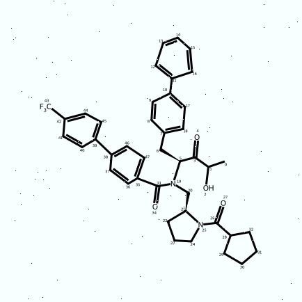 CC(O)C(=O)[C@H](Cc1ccc(-c2ccccc2)cc1)N(C[C@@H]1CCCN1C(=O)C1CCCC1)C(=O)c1ccc(-c2ccc(C(F)(F)F)cc2)cc1